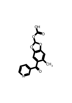 Cc1cc2c(cc1C(=O)c1cccnc1)OC(OC(=O)O)O2